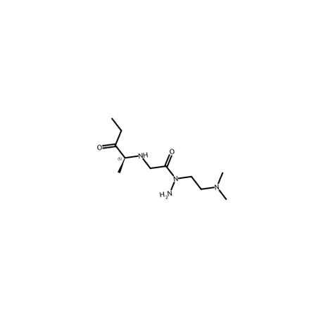 CCC(=O)[C@H](C)NCC(=O)N(N)CCN(C)C